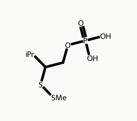 CSSC(COP(=O)(O)O)C(C)C